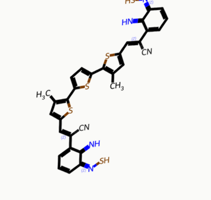 Cc1cc(/C=C(\C#N)C2=CC=C/C(=N/S)C2=N)sc1-c1ccc(-c2sc(/C=C(\C#N)C3=CC=C/C(=N/S)C3=N)cc2C)s1